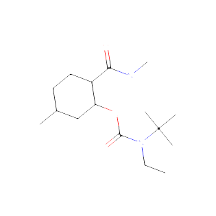 CCN(C(=O)OC1CC(C)CCC1C(=O)NC)C(C)(C)C